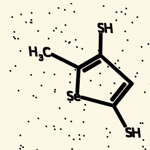 Cc1[se]c(S)cc1S